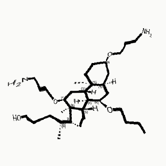 CCCCO[C@@H]1C[C@@H]2C[C@H](OCCCN)CC[C@]2(C)[C@H]2C[C@H](OCCCN)[C@]3(C)[C@@H]([C@H](C)CCCO)CC[C@H]3[C@H]12